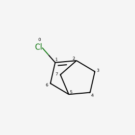 ClC1=C2CCC(C1)C2